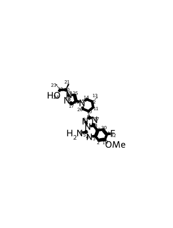 COc1cc2nc(N)n3nc([C@H]4C[C@@H](C)CN(c5cnn([C@H](C)[C@@H](C)O)c5)C4)nc3c2cc1F